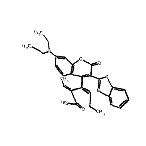 C/C=C(C(=O)O)\C(=C/CC)c1c(-c2nc3ccccc3s2)c(=O)oc2cc(N(CC)CC)ccc12